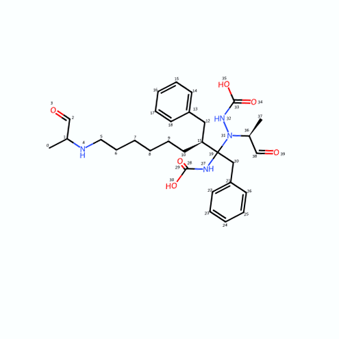 CC(C=O)NCCCCCC[C@@H](Cc1ccccc1)C(Cc1ccccc1)(NC(=O)O)N(NC(=O)O)[C@@H](C)C=O